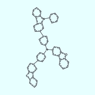 c1ccc(-n2c3ccccc3c3ccc(-c4ccc(N(c5ccc(-c6ccc7sc8ccccc8c7c6)cc5)c5ccc6oc7ccccc7c6c5)cc4)cc32)cc1